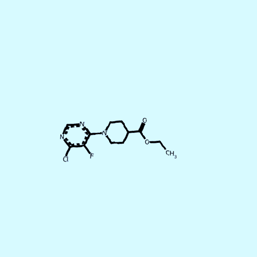 CCOC(=O)C1CCN(c2ncnc(Cl)c2F)CC1